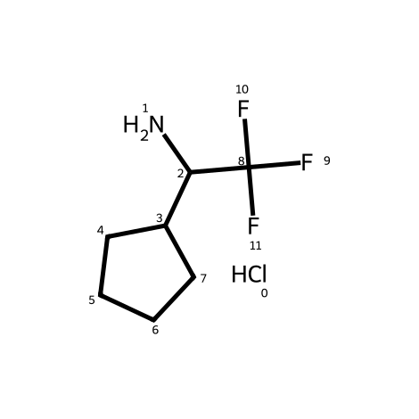 Cl.NC(C1CCCC1)C(F)(F)F